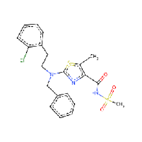 Cc1sc(N(CCc2ccccc2Cl)Cc2ccccc2)nc1C(=O)NS(C)(=O)=O